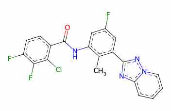 Cc1c(NC(=O)c2ccc(F)c(F)c2Cl)cc(F)cc1-c1nc2ccccn2n1